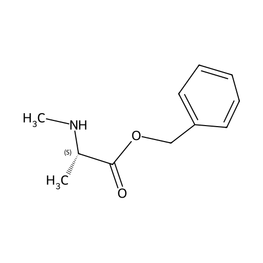 CN[C@@H](C)C(=O)OCc1ccccc1